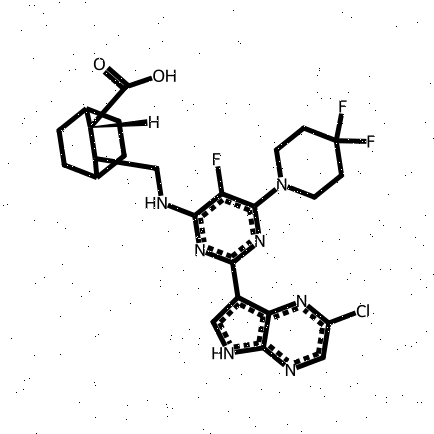 O=C(O)[C@H]1C2CCC(CC2)C1CNc1nc(-c2c[nH]c3ncc(Cl)nc23)nc(N2CCC(F)(F)CC2)c1F